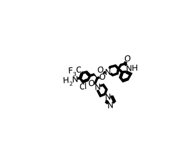 Nc1c(Cl)cc(C[C@@H](OC(=O)N2CCC3(CC2)CC(=O)Nc2ccccc23)C(=O)N2CCC(n3ccnc3)CC2)cc1C(F)(F)F